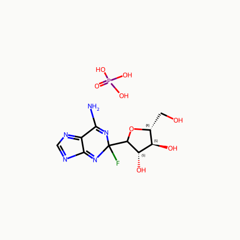 NC1=NC(F)(C2O[C@H](CO)[C@@H](O)[C@@H]2O)N=C2N=CN=C12.O=P(O)(O)O